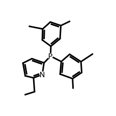 CCc1cccc(P(c2cc(C)cc(C)c2)c2cc(C)cc(C)c2)n1